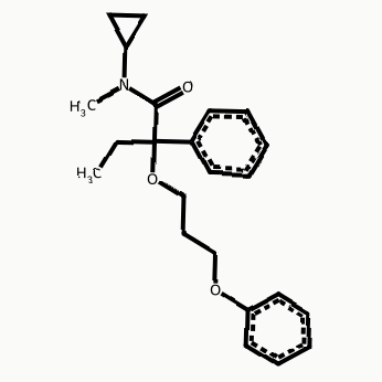 CCC(OCCCOc1ccccc1)(C(=O)N(C)C1CC1)c1ccccc1